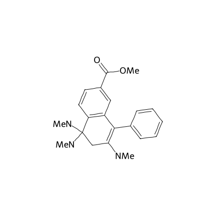 CNC1=C(c2ccccc2)c2cc(C(=O)OC)ccc2C(NC)(NC)C1